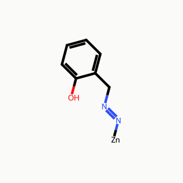 Oc1ccccc1C/N=[N]/[Zn]